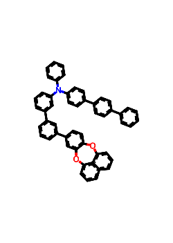 c1ccc(-c2ccc(-c3ccc(N(c4ccccc4)c4cccc(-c5cccc(-c6ccc7c(c6)Oc6cccc8cccc(c68)O7)c5)c4)cc3)cc2)cc1